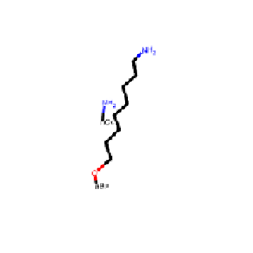 CCCCCCCCN.CCCCOCCCCCCCCN